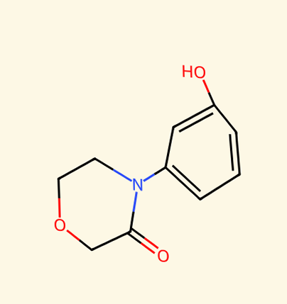 O=C1COCCN1c1cccc(O)c1